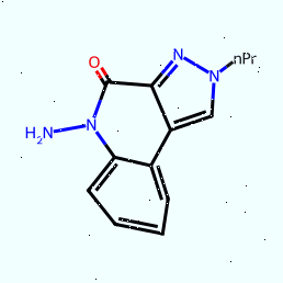 CCCn1cc2c(n1)c(=O)n(N)c1ccccc21